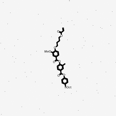 C=CC(=O)OCCCCOc1ccc(C(=O)Oc2ccc(C(=O)Oc3ccc(CCCCCCCC)cc3)cc2C)cc1OC